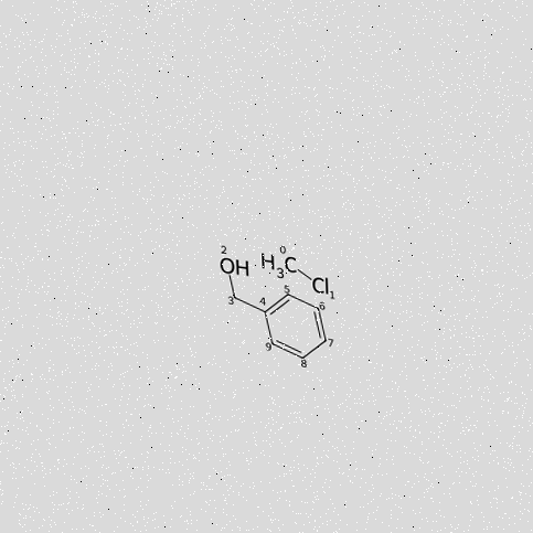 CCl.OCc1ccccc1